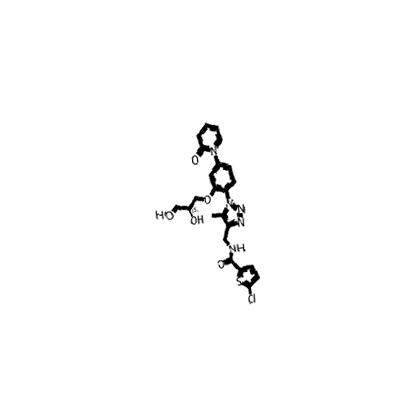 Cc1c(CNC(=O)c2ccc(Cl)s2)nnn1-c1ccc(-n2ccccc2=O)cc1OC[C@@H](O)CO